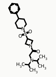 CC(C)N(CC(=O)N1CC(S(=O)(=O)N2CCC(c3ccccc3)CC2)C1)C(C)C